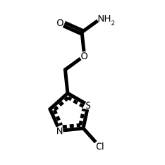 NC(=O)OCc1cnc(Cl)s1